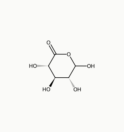 O=C1OC(O)[C@H](O)[C@@H](O)[C@@H]1O